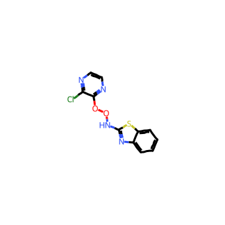 Clc1nccnc1OONc1nc2ccccc2s1